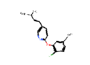 COc1ccc(Cl)c(Oc2ccc(/C=C/[C@H](C)NC(C)=O)cn2)c1